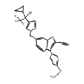 COc1ccc(-c2c(C#N)sc3cc(Cn4cc(C(O)(C5CC5)C(F)(F)F)nn4)ccc23)cn1